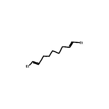 CCC=CCCCCCC=CCC